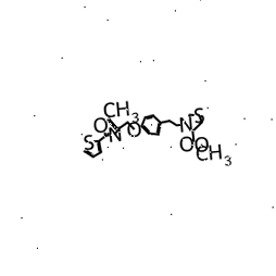 COC(=O)C1CSCN1CCc1ccc(OCc2nc(-c3cccs3)oc2C)cc1